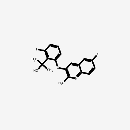 Cc1nc2ccc(F)cc2cc1Oc1cccc(F)c1C(C)(C)O